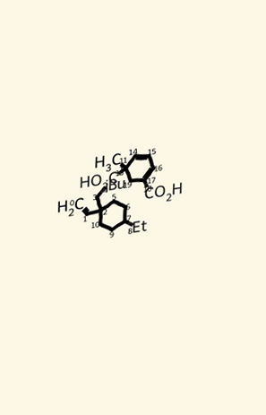 C=CC1(CC(C)CC)CCC(CC)CC1.CC1(C(=O)O)C=CC=C(C(=O)O)C1